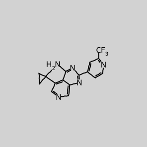 CC1(c2cncc3nc(-c4ccnc(C(F)(F)F)c4)nc(N)c23)CC1